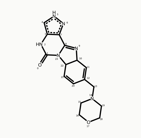 O=C1Nc2c[nH]nc2C2=NC3C=C(CN4CCOCC4)C=CC3N12